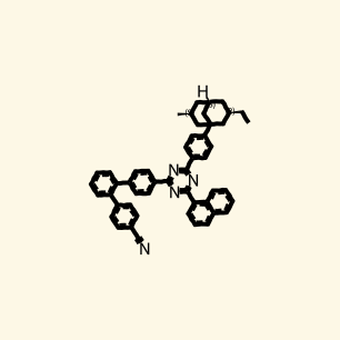 CC[C@@H]1C[C@@H]2C[C@H](C)CC(c3ccc(-c4nc(-c5ccc(-c6ccccc6-c6ccc(C#N)cc6)cc5)nc(-c5cccc6ccccc56)n4)cc3)(C1)C2